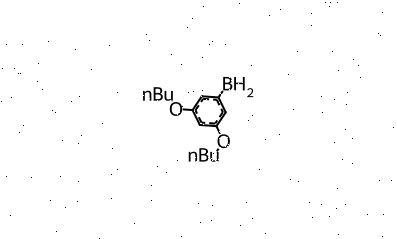 Bc1cc(OCCCC)cc(OCCCC)c1